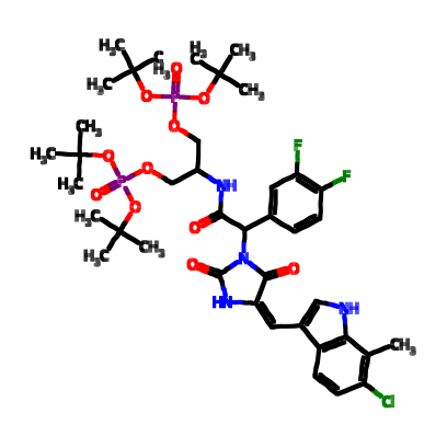 Cc1c(Cl)ccc2c(C=C3NC(=O)N(C(C(=O)NC(COP(=O)(OC(C)(C)C)OC(C)(C)C)COP(=O)(OC(C)(C)C)OC(C)(C)C)c4ccc(F)c(F)c4)C3=O)c[nH]c12